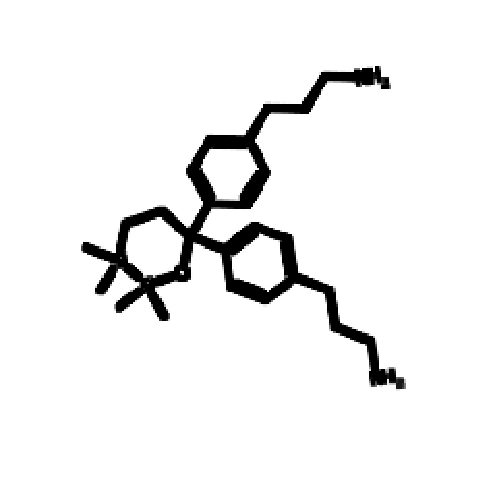 C[Si]1(C)CCC(c2ccc(CCCN)cc2)(c2ccc(CCCN)cc2)O[Si]1(C)C